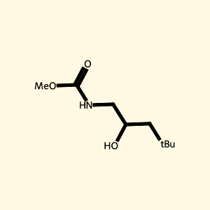 COC(=O)NCC(O)CC(C)(C)C